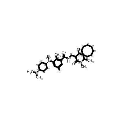 CCN(c1cc(Cl)cc(C(=O)NCC2C(=O)N(C)C(C)C3(CCCCCCC3)C2C)c1C)[C@H]1CC[C@H](N(C)C)CC1